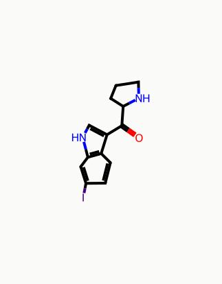 O=C(c1c[nH]c2cc(I)ccc12)C1CCCN1